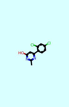 Cc1nc(O)cc(-c2ccc(Cl)cc2Cl)n1